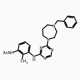 CC(=O)Nc1cccc(Nc2ncnc(N3CCCN(Cc4ccccc4)CC3)n2)c1C